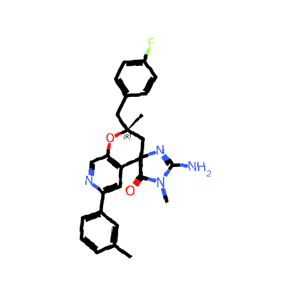 Cc1cccc(-c2cc3c(cn2)O[C@](C)(Cc2ccc(F)cc2)CC32N=C(N)N(C)C2=O)c1